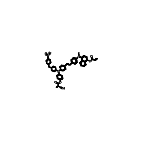 C=CC(=O)Oc1ccc(N(C)c2ccc(C=Cc3ccc(N(c4ccc(Cc5ccc([N+](=O)[O-])cc5)cc4)c4ccc(OC(=O)C(=C)C#N)cc4)cc3)cc2)c2ccccc12